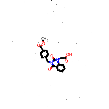 COC(=O)c1ccc(Cn2c(=O)c3ccccc3n(CC(=O)O)c2=O)cc1